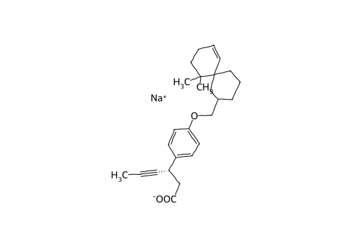 CC#C[C@@H](CC(=O)[O-])c1ccc(OCC2CCCC3(C=CCCC3(C)C)C2)cc1.[Na+]